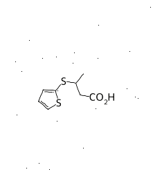 CC(CC(=O)O)Sc1cccs1